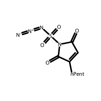 CCCCCC1=CC(=O)N(S(=O)(=O)N=[N+]=[N-])C1=O